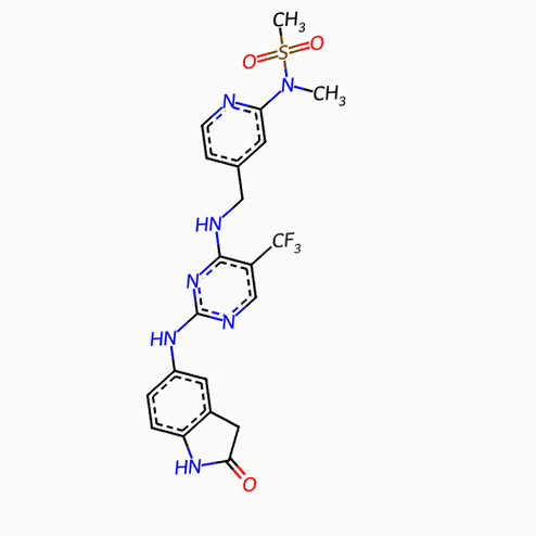 CN(c1cc(CNc2nc(Nc3ccc4c(c3)CC(=O)N4)ncc2C(F)(F)F)ccn1)S(C)(=O)=O